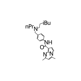 CCCN(CCC(C)CC)Cc1ccc(NC(=O)c2ccn3c(C)cc(C)nc23)cc1